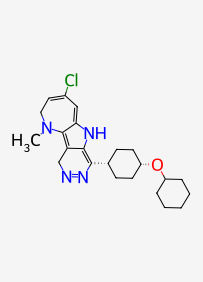 CN1CC=C(Cl)C=c2[nH]c3c(c21)CN=NC=3[C@H]1CC[C@@H](OC2CCCCC2)CC1